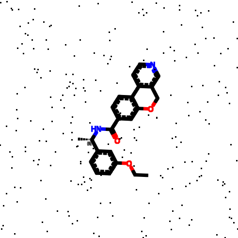 CCOc1cccc([C@H](C)NC(=O)c2ccc3c(c2)OCc2cnccc2-3)c1